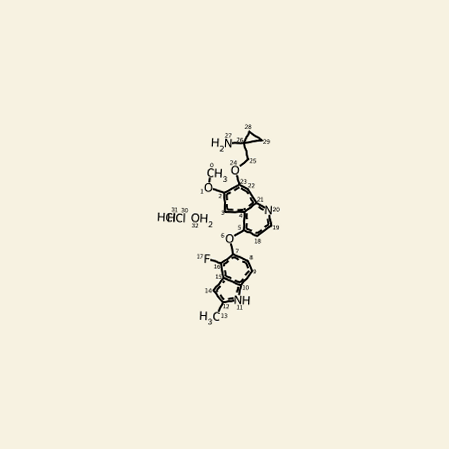 COc1cc2c(Oc3ccc4[nH]c(C)cc4c3F)ccnc2cc1OCC1(N)CC1.Cl.Cl.O